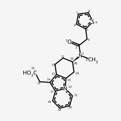 CN(C(=O)Cc1cccs1)[C@@H]1CCc2c(CC(=O)O)c3ccccn3c2C1